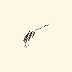 CCCCCCCCCC[CH2][Am][Am][Am][Am][Am][O]CC[N+](C)(C)C